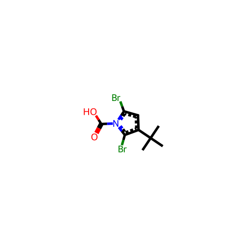 CC(C)(C)c1cc(Br)n(C(=O)O)c1Br